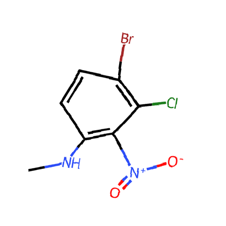 CNc1ccc(Br)c(Cl)c1[N+](=O)[O-]